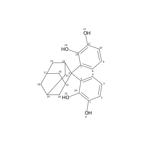 Oc1cccc(C2(c3cccc(O)c3O)C3CC4CC(C3)CC2C4)c1O